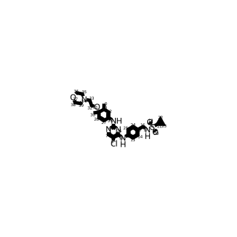 CC1C=C(Nc2ncc(Cl)c(Nc3ccc(CNS(=O)(=O)C4CC4)cc3)n2)C=CC1(C)OCCN1CCOCC1